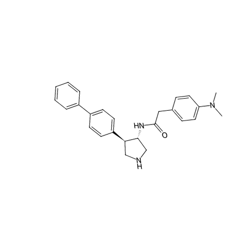 CN(C)c1ccc(CC(=O)N[C@@H]2CNC[C@H]2c2ccc(-c3ccccc3)cc2)cc1